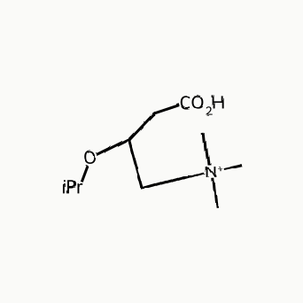 CC(C)OC(CC(=O)O)C[N+](C)(C)C